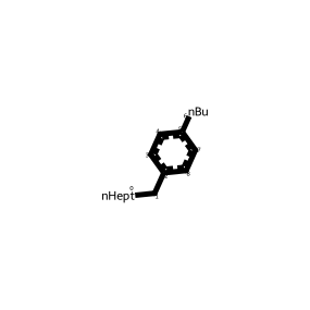 [CH2]CCCCCCCc1ccc(CCCC)cc1